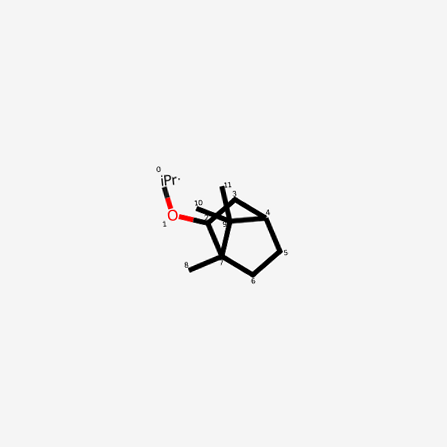 C[C](C)OC1CC2CCC1(C)C2(C)C